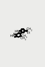 C=C(CC)c1ccc2[nH]c3c(c2c1)C(C)(C)Cc1c[nH]nc1-3